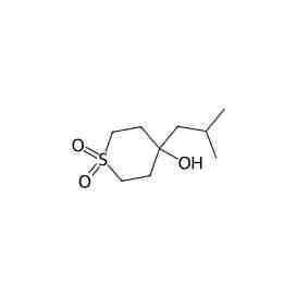 CC(C)CC1(O)CCS(=O)(=O)CC1